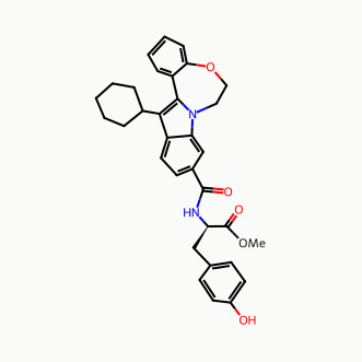 COC(=O)[C@@H](Cc1ccc(O)cc1)NC(=O)c1ccc2c(C3CCCCC3)c3n(c2c1)CCOc1ccccc1-3